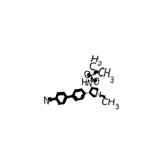 CCN1C[C@H](NS(=O)(=O)C(C)C)[C@@H](c2ccc(-c3ccc(C#N)cc3)cc2)C1